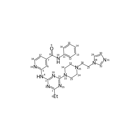 CCc1nc(Nc2cc(C(=O)Nc3ccccc3)ccn2)nc(N2CCN(CCn3ccnc3)CC2)n1